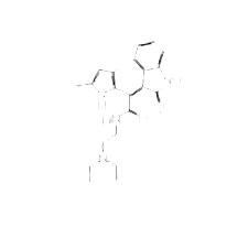 CCN(CC)CCNC(=O)/C(=C1\C(=O)Nc2ccccc21)c1[nH]c(C)cc1C